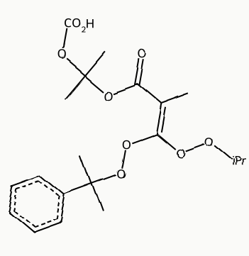 CC(C(=O)OC(C)(C)OC(=O)O)=C(OOC(C)C)OOC(C)(C)c1ccccc1